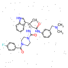 C[C@H](c1c[nH]c2ccccc12)[C@@H](NC(=O)N1CCN(C(=O)c2ccc(F)cc2)CC1)C(=O)Nc1cccc(CN(C)C)c1